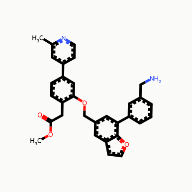 COC(=O)Cc1ccc(-c2ccnc(C)c2)cc1OCc1cc(-c2cccc(CN)c2)c2occc2c1